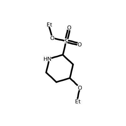 CCOC1CCNC(S(=O)(=O)OCC)C1